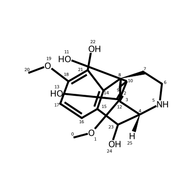 COC1=C2[C@@H]3NCC[C@@]2(CC(O)C1O)c1c(ccc(OC)c1O)C3O